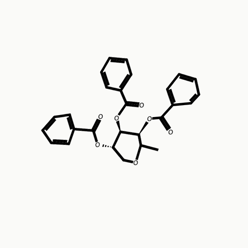 CC1OC[C@H](OC(=O)c2ccccc2)[C@@H](OC(=O)c2ccccc2)[C@H]1OC(=O)c1ccccc1